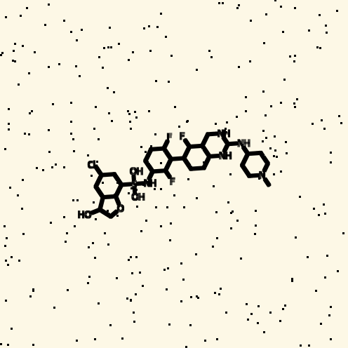 CN1CCC(NC2NCC3C(CCC(C4C(F)CCC(NS(O)(O)C5CC(Cl)CC6C(O)COC65)C4F)C3F)N2)CC1